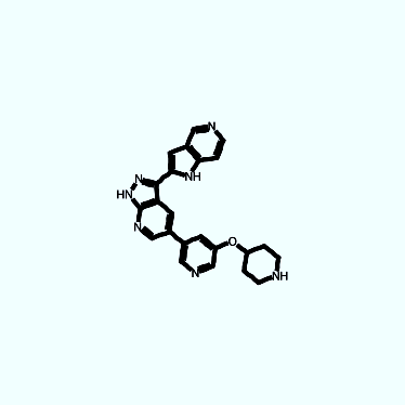 c1cc2[nH]c(-c3n[nH]c4ncc(-c5cncc(OC6CCNCC6)c5)cc34)cc2cn1